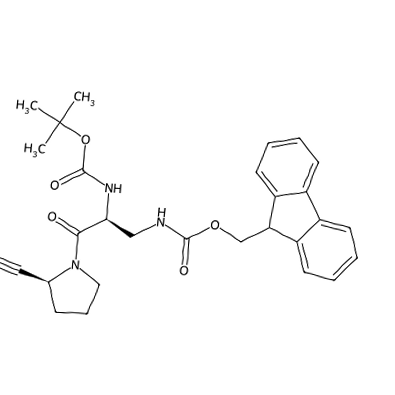 CC(C)(C)OC(=O)N[C@@H](CNC(=O)OCC1c2ccccc2-c2ccccc21)C(=O)N1CCC[C@H]1C#N